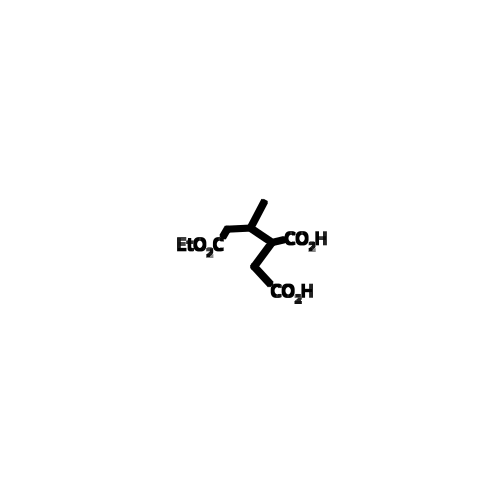 CCOC(=O)CC(C)C(CC(=O)O)C(=O)O